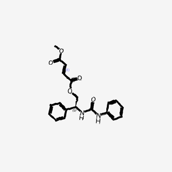 COC(=O)/C=C/C(=O)OC[C@@H](NC(=O)Nc1ccccc1)c1ccccc1